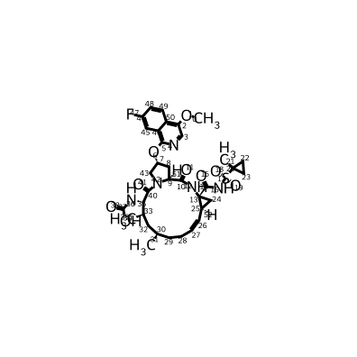 COc1cnc(O[C@@H]2C[C@H]3C(=O)N[C@]4(C(=O)NS(=O)(=O)C5(C)CC5)C[C@H]4C=CCC[C@@H](C)C[C@@H](C)[C@H](NC(=O)O)C(=O)N3C2)c2cc(F)ccc12